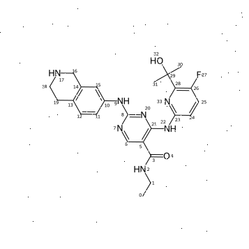 CCNC(=O)c1cnc(Nc2ccc3c(c2)CNCC3)nc1Nc1ccc(F)c(C(C)(C)O)n1